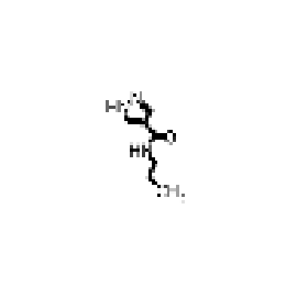 [CH2]CCNC(=O)c1cn[nH]c1